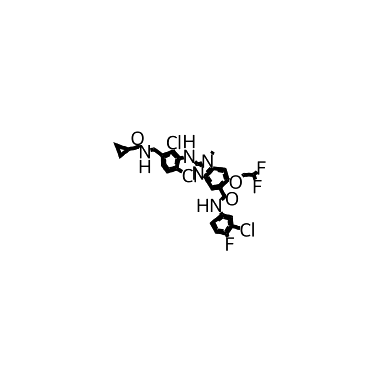 Cn1c(Nc2c(Cl)ccc(CNC(=O)C3CC3)c2Cl)nc2cc(C(=O)Nc3ccc(F)c(Cl)c3)c(OCC(F)F)cc21